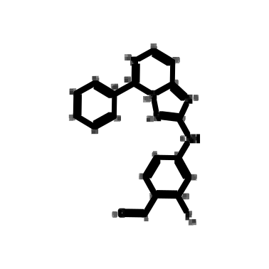 O=Cc1ccc(Nc2nc3ccnc(-c4ccccc4)n3n2)cc1F